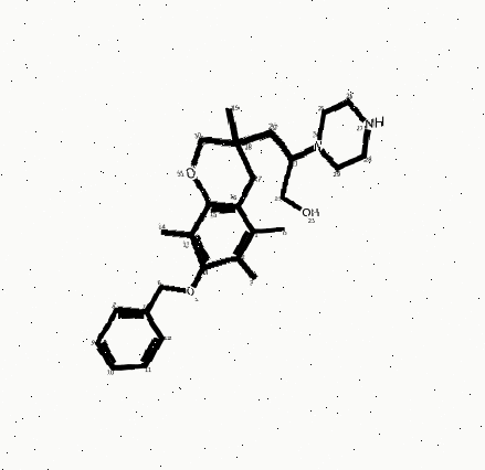 Cc1c(C)c(OCc2ccccc2)c(C)c2c1CC(C)(CC(CO)N1CCNCC1)CO2